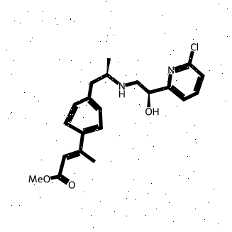 COC(=O)/C=C(\C)c1ccc(C[C@@H](C)NC[C@H](O)c2cccc(Cl)n2)cc1